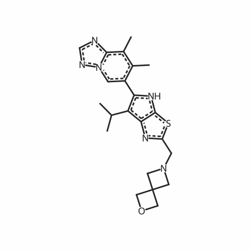 Cc1c(-c2[nH]c3sc(CN4CC5(COC5)C4)nc3c2C(C)C)cn2ncnc2c1C